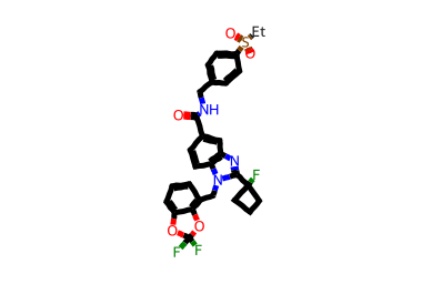 CCS(=O)(=O)c1ccc(CNC(=O)c2ccc3c(c2)nc(C2(F)CCC2)n3Cc2cccc3c2OC(F)(F)O3)cc1